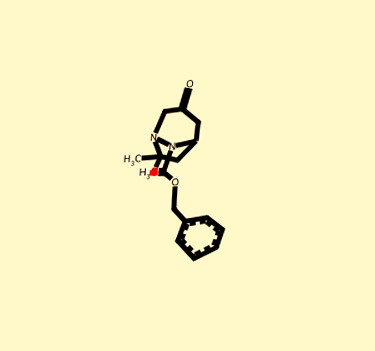 CC1(C)CC2CC(=O)CN1N2C(=O)OCc1ccccc1